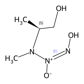 C[C@@H](CO)N(C)/[N+]([O-])=N\O